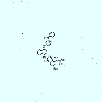 COc1c(CN(C)C(C)=O)cc(C(C)(C)C)cc1NC(=O)Nc1ccc(Oc2ccnc(Nc3ccccc3)c2)c2ccccc12